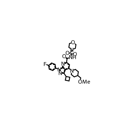 COCC1CCN(c2cc(C(=O)NS(=O)(=O)N3CCOCC3)nc3c2c(C2CCC2)nn3-c2ccc(F)cc2)CC1